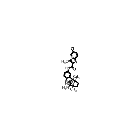 Cc1c(C(=O)Nc2ccc(F)c([C@@]3(C)N=C(N)[C@]4(C)CC[C@H]3S4(O)O)c2)nc2ccc(Cl)cn12